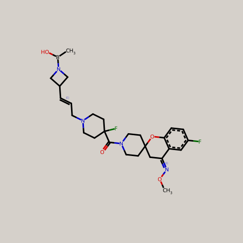 CO/N=C1\CC2(CCN(C(=O)C3(F)CCN(C/C=C/C4CN(B(C)O)C4)CC3)CC2)Oc2ccc(F)cc21